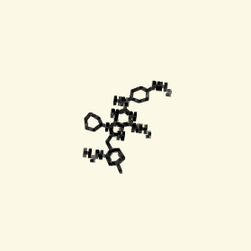 Cc1ccc(Cc2nc3c(N)nc(NC4CCC(N)CC4)nc3n2C2CCCCC2)c(N)c1